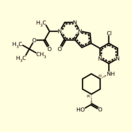 CC(C(=O)OC(C)(C)C)n1cnn2cc(-c3nc(N[C@H]4CCC[C@@H](C(=O)O)C4)ncc3Cl)cc2c1=O